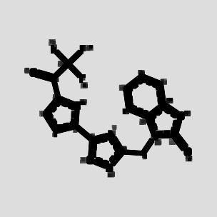 O=C(c1ccc(-c2nc(Cn3c(=O)oc4ccccc43)no2)s1)C(F)(F)F